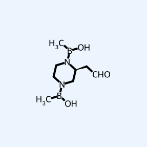 CB(O)N1CCN(B(C)O)[C@@H](CC=O)C1